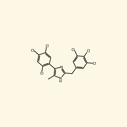 Cc1[nH]c(Cc2cc(Cl)c(Cl)c(Cl)c2)nc1-c1cc(Cl)c(Cl)cc1Cl